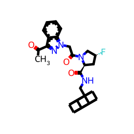 CC(=O)c1nn(CC(=O)N2C[C@H](F)C[C@H]2C(=O)NCC23C4C5C6C4C2C6C53)c2ccccc12